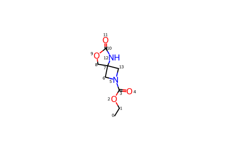 CCOC(=O)N1CC2(COC(=O)N2)C1